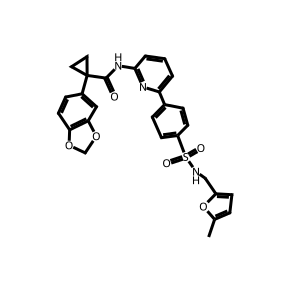 Cc1ccc(CNS(=O)(=O)c2ccc(-c3cccc(NC(=O)C4(c5ccc6c(c5)OCO6)CC4)n3)cc2)o1